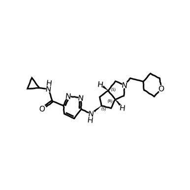 O=C(NC1CC1)c1ccc(N[C@H]2C[C@@H]3CN(CC4CCOCC4)C[C@@H]3C2)nn1